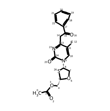 CC(=O)OC[C@H]1OC[C@@H](n2cc(F)c(CC(=O)c3ccccc3)nc2=O)S1